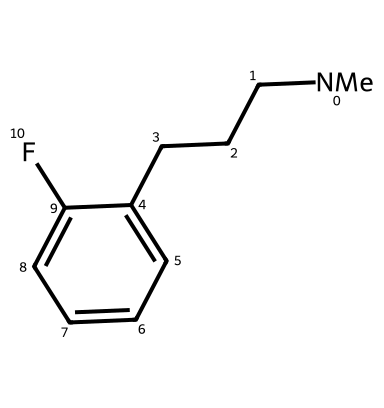 CNCCCc1ccccc1F